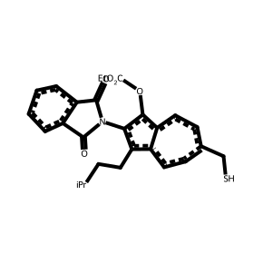 CCOC(=O)Oc1c2ccc(CS)ccc-2c(CCC(C)C)c1N1C(=O)c2ccccc2C1=O